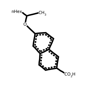 CCCCCCC(C)Oc1ccc2cc(C(=O)O)ccc2c1